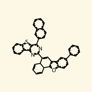 C1=CC2C(c3nc(-c4ccc5ccccc5c4)c4sc5ccccc5c4n3)=Cc3c(oc4ccc(-c5ccccc5)cc34)C2C=C1